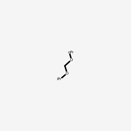 CCCOCOC(C)C